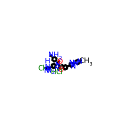 CN1CCN(c2ncc(-c3cccc(C[C@@H](C(N)=O)N(c4ccc(-c5nnc(Cl)[nH]5)cc4)C(=O)[C@H]4CC[C@H](CN)CC4)c3)cn2)CC1.Cl